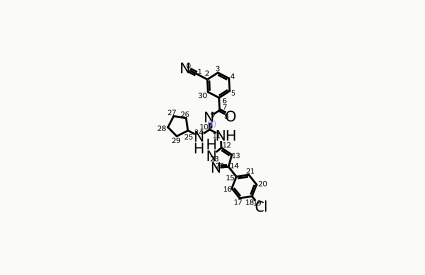 N#Cc1cccc(C(=O)/N=C(\Nc2cc(-c3ccc(Cl)cc3)n[nH]2)NC2CCCC2)c1